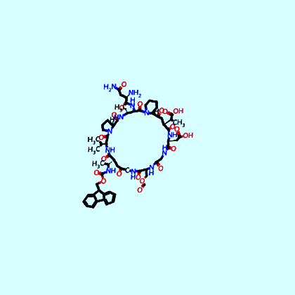 CC(C(=O)O)[C@@H]1CC(=O)[C@H]2CCCCN2C(=O)C(NC(=O)[C@@H](N)CC(N)=O)[C@@H](C)NC(=O)[C@@H]2CCCN2C(=O)[C@H](C(C)C)NC(=O)[C@@H](C(C)NC(=O)OCC2c3ccccc3-c3ccccc32)CC(=O)CNC(=O)C(COC=O)NC(=O)CNC(=O)[C@H](CC(=O)O)NC1=O